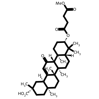 COC(=O)CCC(=O)O[C@H]1CC[C@]2(C)[C@H]3C(=O)C=C4[C@@H]5C[C@@](C)(C(=O)O)CC[C@]5(C)CC[C@@]4(C)[C@]3(C)CC[C@H]2C1(C)C